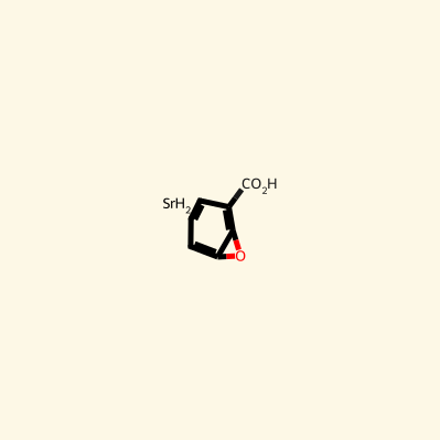 O=C(O)c1cccc2c1O2.[SrH2]